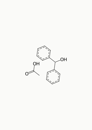 CC(=O)O.OC(c1ccccc1)c1ccccc1